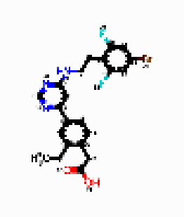 CCc1cc(-c2cc(NCCc3c(F)cc(Br)cc3F)ncn2)ccc1CC(=O)O